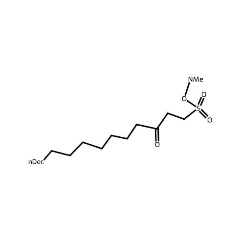 CCCCCCCCCCCCCCCCCC(=O)CCS(=O)(=O)ONC